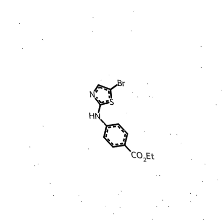 CCOC(=O)c1ccc(Nc2ncc(Br)s2)cc1